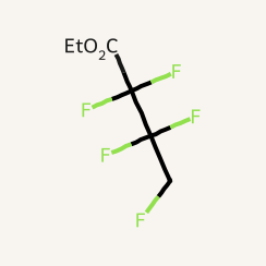 CCOC(=O)C(F)(F)C(F)(F)CF